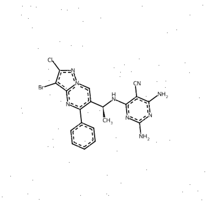 C[C@H](Nc1nc(N)nc(N)c1C#N)c1cn2nc(Cl)c(Br)c2nc1-c1ccccc1